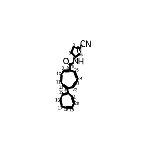 N#CN1CC[C@@H](NC(=O)c2ccccc(C3=C/C=C\C=C/C=C\3)cccc2)C1